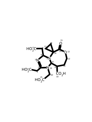 O=C(O)CC1=NC(CC(=O)O)N2C(C(C(=O)O)CCOC(=O)C23CC3)N1CC(=O)O